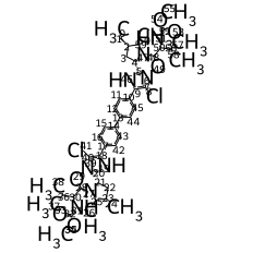 CC[C@@H]1C[C@@H](c2nc(Cl)c(-c3ccc(-c4ccc(-c5[nH]c([C@@H]6C[C@@H](C)[C@@H](C)N6C(=O)[C@@H](NC(=O)OC)C(C)C)nc5Cl)cc4)cc3)[nH]2)N(C(=O)[C@@H](NC(=O)OC)C(C)C)[C@@H]1C